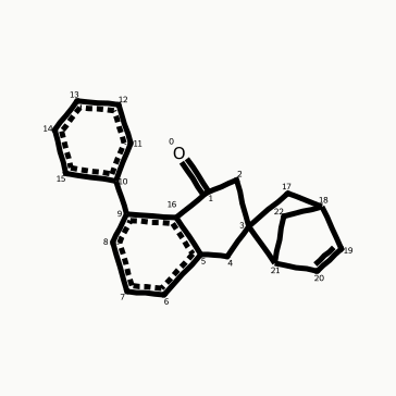 O=C1CC2(Cc3cccc(-c4ccccc4)c31)CC1C=CC2C1